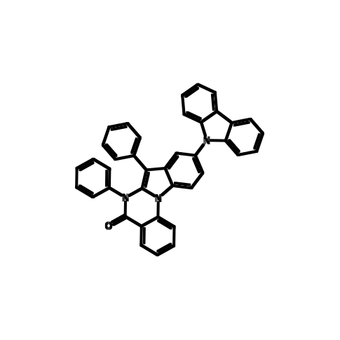 O=c1c2ccccc2n2c3ccc(-n4c5ccccc5c5ccccc54)cc3c(-c3ccccc3)c2n1-c1ccccc1